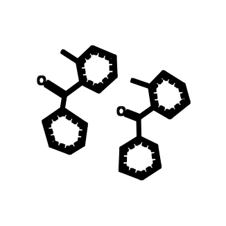 Cc1ccccc1C(=O)c1ccccc1.Cc1ccccc1C(=O)c1ccccc1